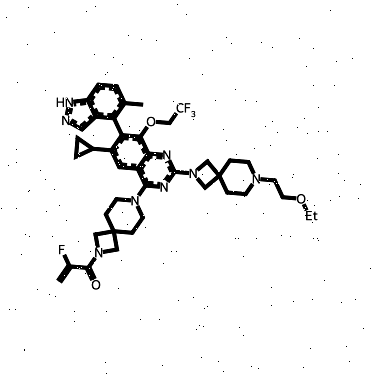 C=C(F)C(=O)N1CC2(CCN(c3nc(N4CC5(CCN(CCOCC)CC5)C4)nc4c(OCC(F)(F)F)c(-c5c(C)ccc6[nH]ncc56)c(C5CC5)cc34)CC2)C1